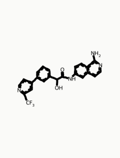 Nc1nccc2cc(NC(=O)C(O)c3cccc(-c4ccnc(C(F)(F)F)c4)c3)ccc12